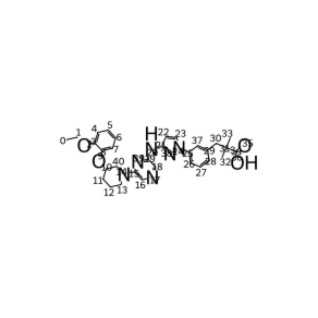 CCOc1ccccc1OC1CCCN(c2cncc(Nc3ccn(-c4cccc(CC(C)(C)C(=O)O)c4)n3)n2)C1